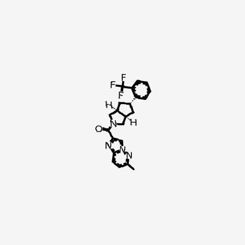 Cc1ccc2nc(C(=O)N3C[C@H]4C[C@H](c5ccccc5C(F)(F)F)C[C@H]4C3)cn2n1